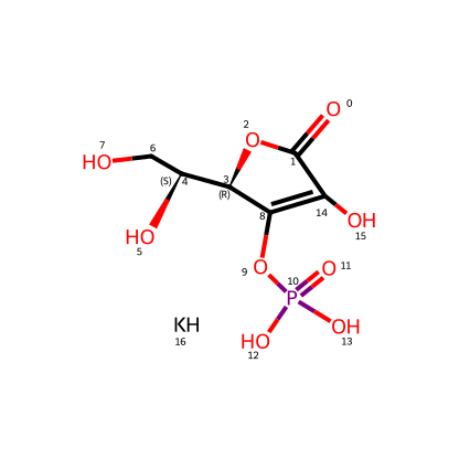 O=C1O[C@H]([C@@H](O)CO)C(OP(=O)(O)O)=C1O.[KH]